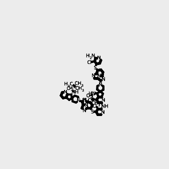 CC(C)(C)[S@@+]([O-])N[C@@H]1c2ncccc2CC12CCN(c1nc3ccc(Sc4ccnc(Nc5cc6c7c(n5)CC5(CCN(c8nc9ccc(Sc%10ccnc(N)c%10Cl)c%10ncc8n9%10)CC5)C7N[S@+]([O-])C6(C)C)c4Cl)c4ncc1n34)CC2